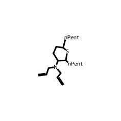 C=CCN(CC=C)C1CCC(CCCCC)SC1CCCCC